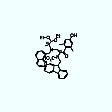 CCOC(OCC)[C@H](C)N(Cc1cccc2cccnc12)C[C@@H](C(=O)c1c(C)cc(O)cc1C)N(CC1c2ccccc2-c2ccccc21)C(=O)O